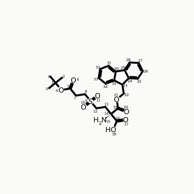 CC(C)(C)OC(=O)CCS(=O)(=O)CC[C@](N)(C(=O)O)C(=O)OCC1c2ccccc2-c2ccccc21